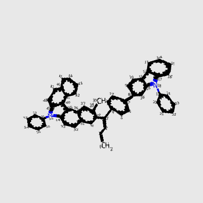 C=C/C=C(/c1ccc(-c2ccc3c4ccccc4n(-c4ccccc4)c3c2)cc1)c1cc2ccc3c(c2cc1C)c1c2ccccc2ccc1n3-c1ccccc1